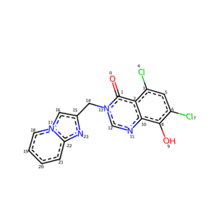 O=c1c2c(Cl)cc(Cl)c(O)c2ncn1Cc1cn2ccccc2n1